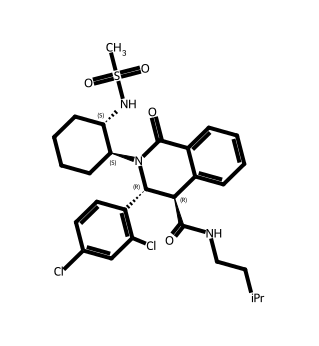 CC(C)CCNC(=O)[C@@H]1c2ccccc2C(=O)N([C@H]2CCCC[C@@H]2NS(C)(=O)=O)[C@H]1c1ccc(Cl)cc1Cl